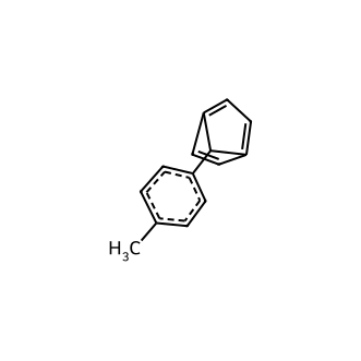 Cc1ccc(C2C3=CC=C2C=C3)cc1